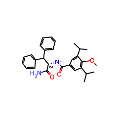 COc1c(C(C)C)cc(C(=O)N[C@H](C(N)=O)C(c2ccccc2)c2ccccc2)cc1C(C)C